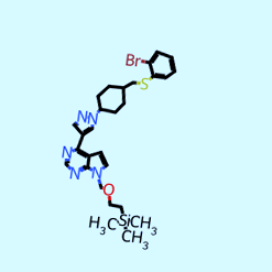 C[Si](C)(C)CCOCn1ccc2c(-c3cnn(C4CCC(CSc5ccccc5Br)CC4)c3)ncnc21